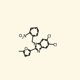 Cc1ccc(-c2nc3cc(Cl)c(Cl)cc3n2Cc2ccccc2[N+](=O)[O-])o1